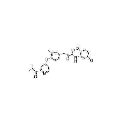 CNC(=O)c1cc(Oc2ccc(CNC(=O)Nc3cc(Cl)ccc3OC)cc2C)ccn1